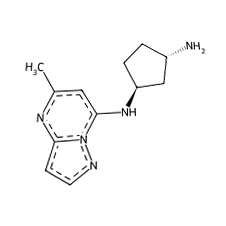 Cc1cc(N[C@H]2CC[C@H](N)C2)n2nccc2n1